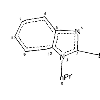 CCCn1c(Br)nc2cc[c]cc21